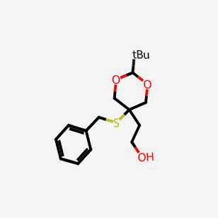 CC(C)(C)C1OCC(CCO)(SCc2ccccc2)CO1